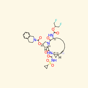 O=C(N[C@H]1CCCCC/C=C\[C@@H]2C[C@@]2(C(=O)NS(=O)(=O)C2CC2)NC(=O)[C@@H]2C[C@@H](OC(=O)N3CCc4ccccc4C3)CN2C1=O)OC(CF)CF